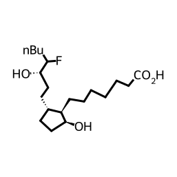 CCCCC(F)[C@@H](O)CC[C@H]1CC[C@H](O)[C@@H]1CCCCCCC(=O)O